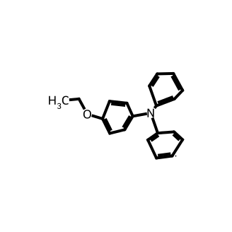 CCOc1ccc(N(c2cc[c]cc2)c2ccccc2)cc1